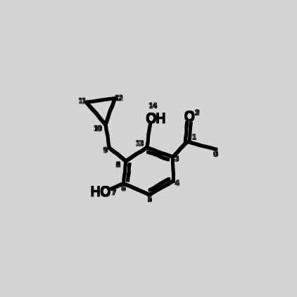 CC(=O)c1ccc(O)c(CC2CC2)c1O